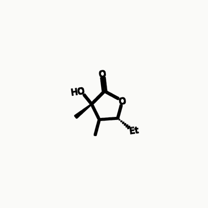 CC[C@H]1OC(=O)[C@@](C)(O)C1C